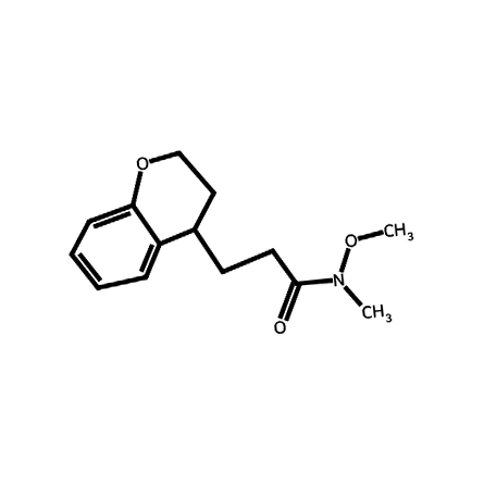 CON(C)C(=O)CCC1CCOc2ccccc21